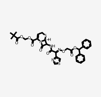 CC(C)(C)C(=O)OCOC(=O)C1=CCS[C@H]2C(NC(=O)C(=NOCC(=O)OC(c3ccccc3)c3ccccc3)c3cscn3)C(=O)N12